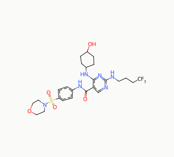 O=C(Nc1ccc(S(=O)(=O)N2CCOCC2)cc1)c1cnc(NCCCC(F)(F)F)nc1NC1CCC(O)CC1